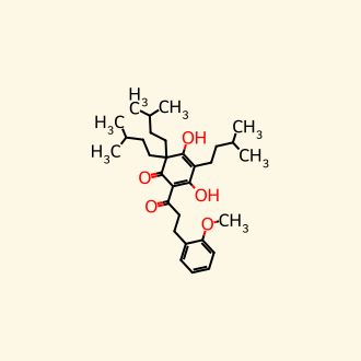 COc1ccccc1CCC(=O)C1=C(O)C(CCC(C)C)=C(O)C(CCC(C)C)(CCC(C)C)C1=O